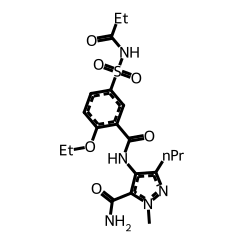 CCCc1nn(C)c(C(N)=O)c1NC(=O)c1cc(S(=O)(=O)NC(=O)CC)ccc1OCC